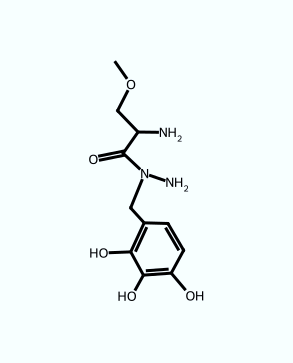 COCC(N)C(=O)N(N)Cc1ccc(O)c(O)c1O